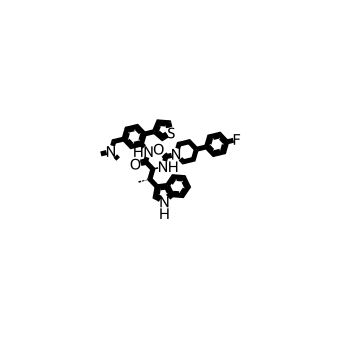 C[C@@H](c1c[nH]c2ccccc12)[C@@H](NC(=O)N1CCC(c2ccc(F)cc2)CC1)C(=O)Nc1cc(CN(C)C)ccc1-c1ccsc1